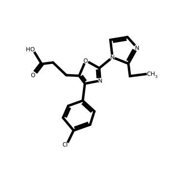 CCc1nccn1-c1nc(-c2ccc(Cl)cc2)c(CCC(=O)O)o1